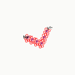 O=P1([O-])OOO1.O=P1([O-])OOO1.O=P1([O-])OOO1.O=P1([O-])OOO1.O=P1([O-])OOO1.O=P1([O-])OOO1.[Na+].[V+5]